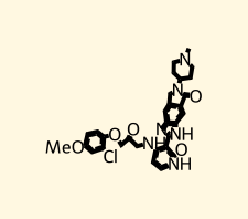 COc1ccc(OCC(=O)CNc2cc[nH]c(=O)c2-c2nc3cc4c(cc3[nH]2)C(=O)N(C2CCN(C)CC2)C4)c(Cl)c1